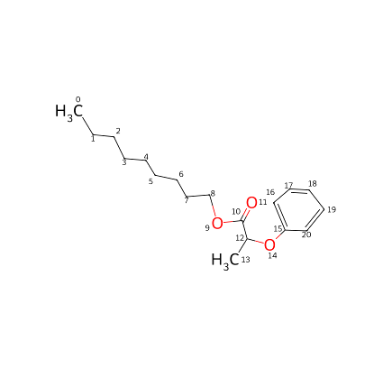 CCCCCCCCCOC(=O)C(C)Oc1ccccc1